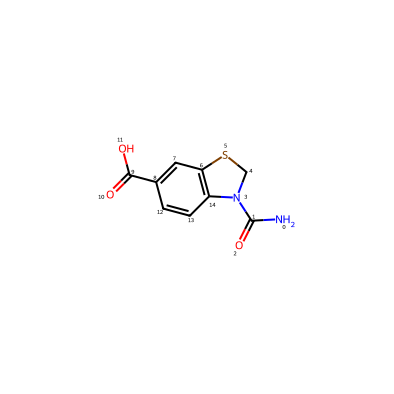 NC(=O)N1CSc2cc(C(=O)O)ccc21